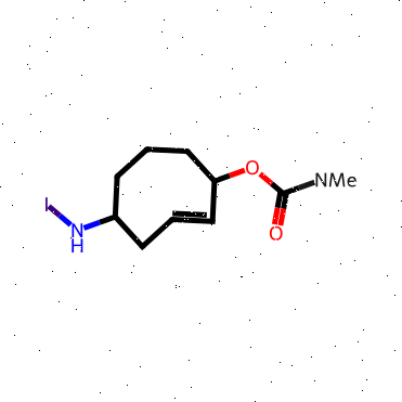 CNC(=O)OC1/C=C/CC(NI)CCC1